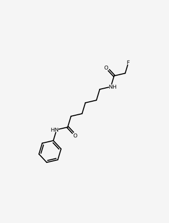 O=C(CF)NCCCCCC(=O)Nc1ccccc1